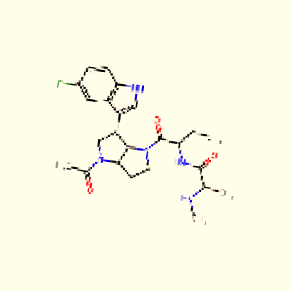 CCC(NC(=O)C(C)NC)C(=O)N1CCC2C1C(c1c[nH]c3ccc(F)cc13)CN2C(C)=O